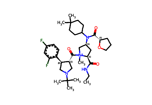 CCNC(=O)[C@@H]1C[C@H](N(C(=O)[C@@H]2CCCO2)C2CCC(C)(C)CC2)C[N+]1(C)C(=O)[C@@H]1CN(C(C)(C)C)C[C@H]1c1ccc(F)cc1F